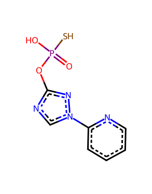 O=P(O)(S)Oc1ncn(-c2ccccn2)n1